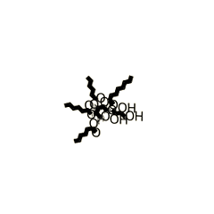 CCCCCCCC(=O)O[C@@H]1[C@H](OC(O)C(O)CO)O[C@H](COC(=O)CCCCC)[C@@H](OC(=O)CCCCC)[C@@H]1OC(=O)CCCCC